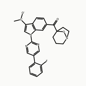 C[S+]([O-])c1cn(-c2ncc(-c3ccccc3F)cn2)c2cc(C(=O)C34CCCN(CC3)O4)ccc12